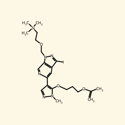 C=C(C)OCCCOc1c(-c2cc3c(I)nn(COCC[Si](C)(C)C)c3cn2)cnn1C